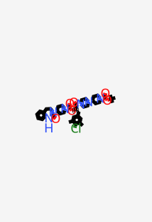 Cc1cc(C[C@@H](OC(=O)N2CCC(N3CCc4ccccc4NC3=O)CC2)C(=O)N2CCN(C3CCN(C(=O)OC(C)(C)C)CC3)CC2)cc(C)c1Cl